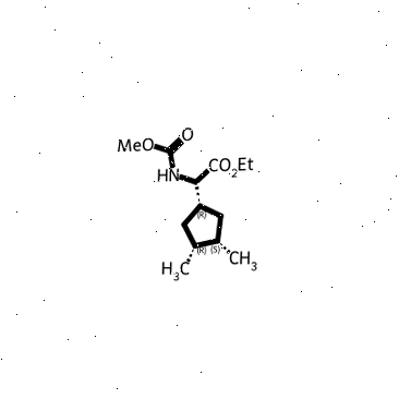 CCOC(=O)C(NC(=O)OC)[C@H]1C[C@@H](C)[C@@H](C)C1